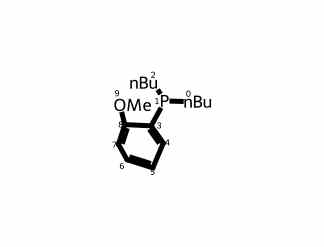 CCCCP(CCCC)c1ccccc1OC